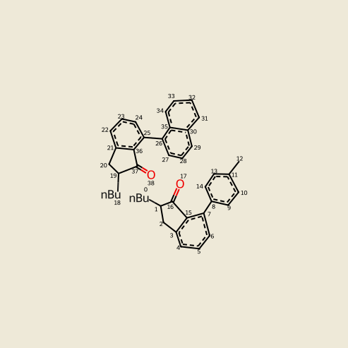 CCCCC1Cc2cccc(-c3ccc(C)cc3)c2C1=O.CCCCC1Cc2cccc(-c3cccc4ccccc34)c2C1=O